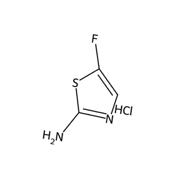 Cl.Nc1ncc(F)s1